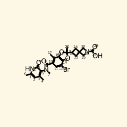 Cc1cc(C)c(N(C)C(=O)c2cc(Br)c3c(c2C)OC(C)(C2CC4(C2)CN(C(=O)O)C4)O3)c(=O)[nH]1